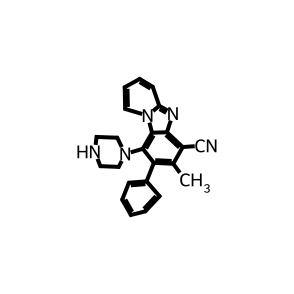 Cc1c(-c2ccccc2)c(N2CCNCC2)c2c(nc3ccccn32)c1C#N